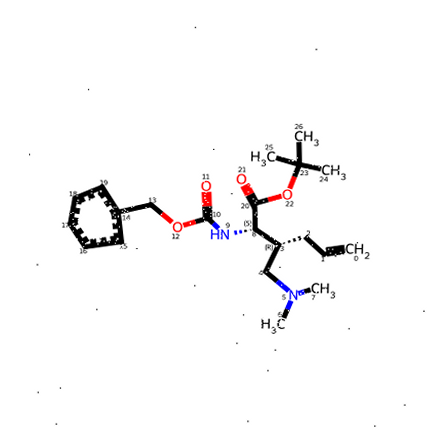 C=CC[C@H](CN(C)C)[C@H](NC(=O)OCc1ccccc1)C(=O)OC(C)(C)C